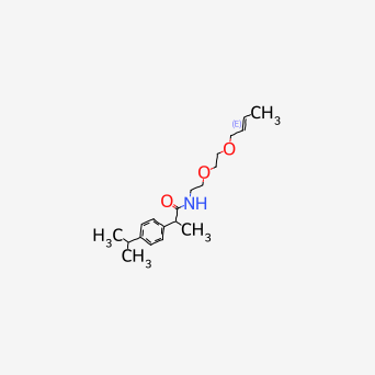 C/C=C/COCCOCCNC(=O)C(C)c1ccc(C(C)C)cc1